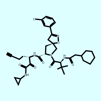 C#CCC[C@H](NC(=O)[C@@H]1C[C@]2(CC(c3cccc(Cl)c3)=NO2)CN1C(=O)[C@@H](NC(=O)CC1CCCCC1)C(C)(C)C)C(=O)C(=O)NC1CC1